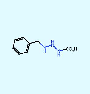 O=C(O)NNNCc1ccccc1